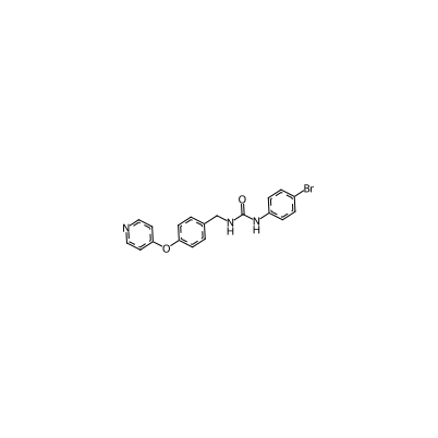 O=C(NCc1ccc(Oc2ccncc2)cc1)Nc1ccc(Br)cc1